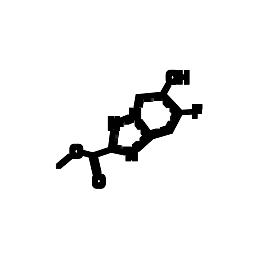 COC(=O)c1nc2cc(F)c(O)cn2n1